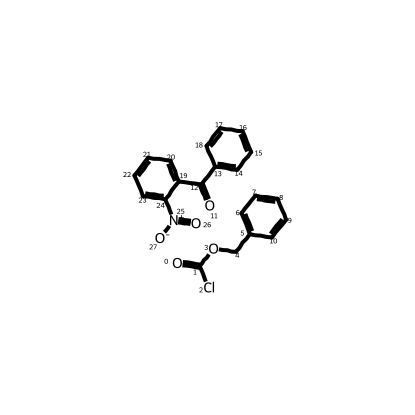 O=C(Cl)OCc1ccccc1.O=C(c1ccccc1)c1ccccc1[N+](=O)[O-]